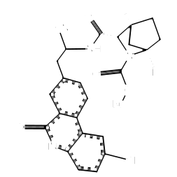 CC(C)(C)OC(=O)N1[C@@H]2CC[C@@H](C2)[C@H]1C(=O)NC(C#N)Cc1ccc2c(c1)c(=O)[nH]c1ccc(Cl)cc12